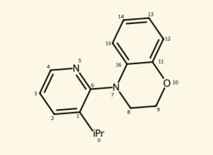 CC(C)c1cccnc1N1CCOc2ccccc21